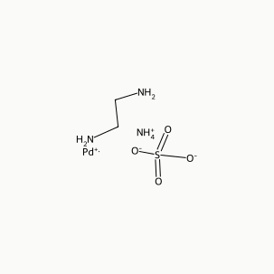 NCCN.O=S(=O)([O-])[O-].[NH4+].[Pd+]